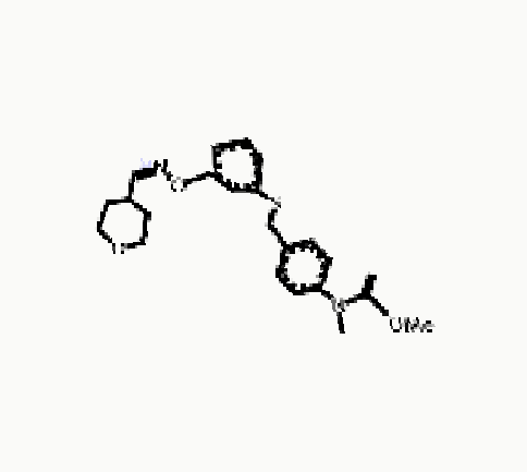 C=C(OC)N(C)c1ccc(CSc2cccc(O/N=C\C3CCOCC3)c2)cc1